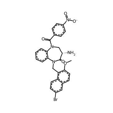 COc1ccc2cc(Br)ccc2c1CN1C(=O)[C@@H](N)CN(C(=O)c2ccc([N+](=O)[O-])cc2)c2ccccc21